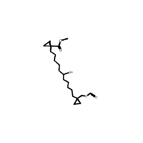 COC(=O)C1(CCCCCC(O)CCCCCC2(COC=O)CC2)CC1